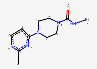 CCNC(=O)N1CCN(c2ccnc(C)n2)CC1